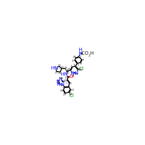 O=C(O)Nc1ccc(-c2cc([C@H](CC3CCNC3)NC(=O)/C=C/c3cc(Cl)ccc3-n3cnnn3)nnc2Cl)cc1